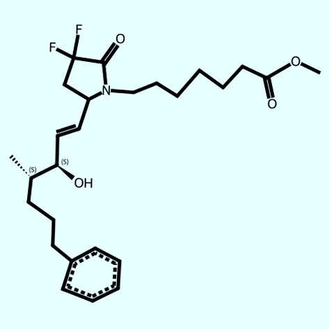 COC(=O)CCCCCCN1C(=O)C(F)(F)CC1C=C[C@@H](O)[C@@H](C)CCCc1ccccc1